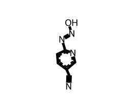 N#Cc1ccc(N=NO)nc1